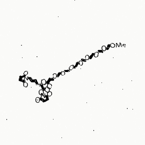 COCCOCCOCCOCCOCCOCCOCCOCCC(=O)O[C@@H](CCCCN1C(=O)C=CC1=O)C(=O)ON1C(=O)CCC1=O